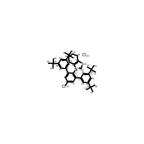 CC(C)(C)c1cc(-c2cc(Cl)cc(-c3cc(C(C)(C)C)cc(C(C)(C)C)c3)c2-[n+]2csc3c2CCCC3)cc(C(C)(C)C)c1.[Cl-]